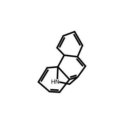 C1=CC2=CC3=C4C=CC=CC4(NC3)C2C=C1